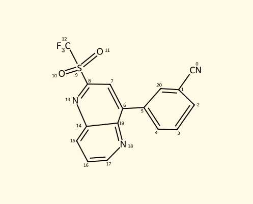 N#Cc1cccc(-c2cc(S(=O)(=O)C(F)(F)F)nc3cccnc23)c1